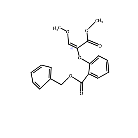 CO/C=C(/Oc1ccccc1C(=O)OCc1ccccc1)C(=O)OC